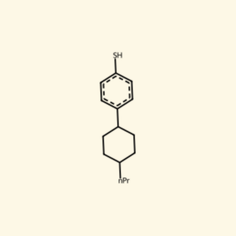 CCCC1CCC(c2ccc(S)cc2)CC1